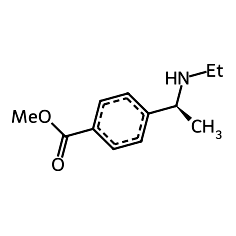 CCN[C@@H](C)c1ccc(C(=O)OC)cc1